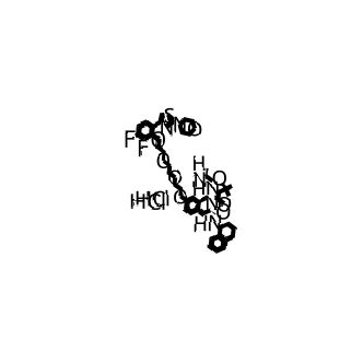 CN[C@@H](C)C(=O)N[C@H](C(=O)N1Cc2cc(OCCOCCOCCOc3c(-c4csc(N5CCOCC5)n4)ccc(F)c3F)ccc2C[C@H]1C(=O)N[C@@H]1CCCc2ccccc21)C(C)(C)C.Cl.Cl